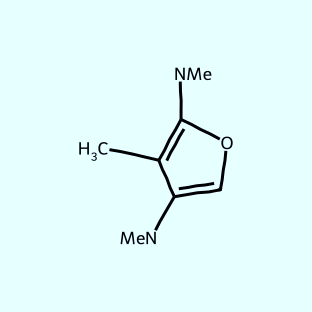 CNc1coc(NC)c1C